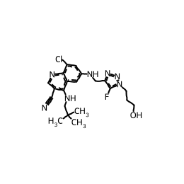 CC(C)(C)CNc1c(C#N)cnc2c(Cl)cc(NCc3nnn(CCCO)c3F)cc12